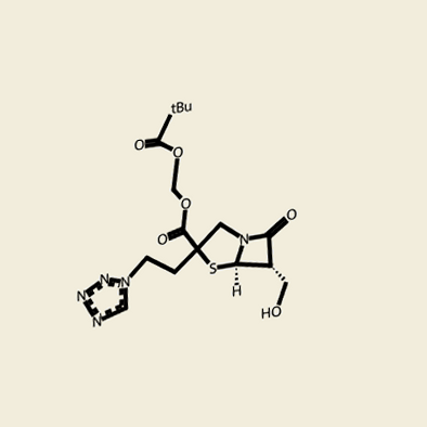 CC(C)(C)C(=O)OCOC(=O)C1(CCn2cnnn2)CN2C(=O)[C@H](CO)[C@H]2S1